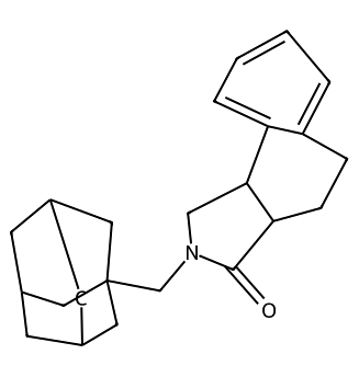 O=C1C2CCc3ccccc3C2CN1CC12CC3CC(CC(C3)C1)C2